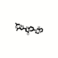 Cc1cn2nc(-c3cc(=O)n4cc(N5CCN6CCC[C@@H]6C5)ccc4n3)cc2c(C)n1